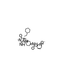 CN1C(=N)N[C@](CCC2CCCCC2)(C[C@H]2CCC[C@@H](NC(=O)c3ccc[n+]([O-])c3)C2)C1=O